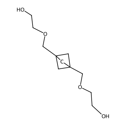 OCCOCC12CC(COCCO)(C1)C2